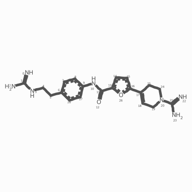 N=C(N)NCCc1ccc(NC(=O)c2ccc(C3=CCN(C(=N)N)CC3)o2)cc1